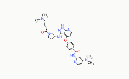 CN(C)c1ccnc(NC(=O)c2ccc(Oc3ccnc4[nH]nc(N[C@@H]5CCN(C(=O)C=CCN(C)C6CC6)C5)c34)cc2)c1